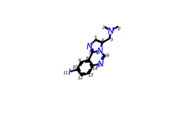 CN(C)CC1CN=C2c3cc(I)ccc3N=CN21